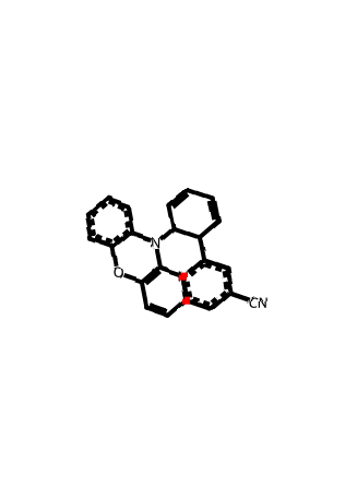 N#Cc1ccnc(C2C=CC=CC2N2C3=C(C=CCC3)Oc3ccccc32)c1